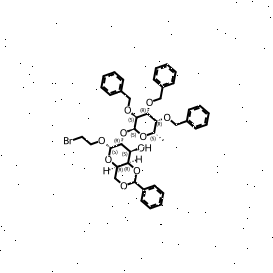 C[C@@H]1O[C@@H](O[C@H]2[C@@H](OCCBr)O[C@@H]3COC(c4ccccc4)O[C@@H]3[C@@H]2O)[C@@H](OCc2ccccc2)[C@H](OCc2ccccc2)[C@@H]1OCc1ccccc1